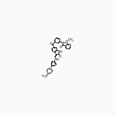 COc1ncccc1C(=O)Nc1cccc(C(=O)c2ccc3c(c2)NC(=O)C3=CNc2ccc(N3CCN(C)CC3)cc2)c1